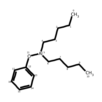 CCCC[CH2][Al]([CH2]CCCC)[O]c1ccccc1